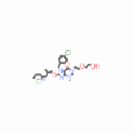 C=C(/C=C(Cl)\C=C/C)COc1nc2c(n1Cc1ccc(Cl)cc1)C(=O)N(CCOCCO)CN2C